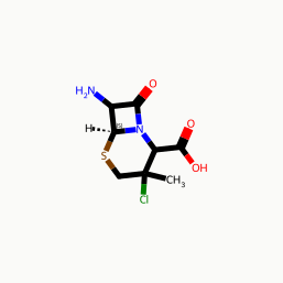 CC1(Cl)CS[C@H]2C(N)C(=O)N2C1C(=O)O